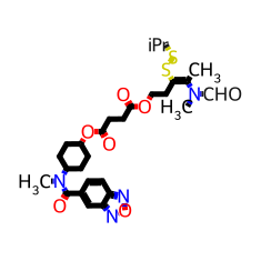 C/C(=C(/CCOC(=O)CCC(=O)OC1CCC(N(C)C(=O)c2ccc3nonc3c2)CC1)SSC(C)C)N(C)C=O